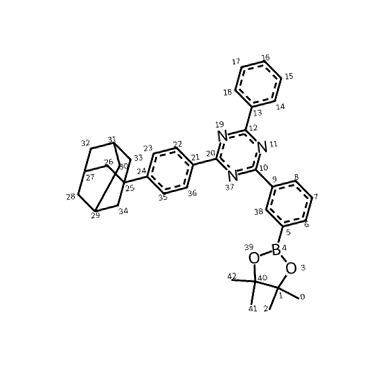 CC1(C)OB(c2cccc(-c3nc(-c4ccccc4)nc(-c4ccc(C56CC7CC(CC(C7)C5)C6)cc4)n3)c2)OC1(C)C